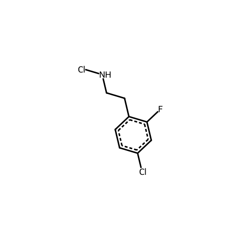 Fc1cc(Cl)ccc1CCNCl